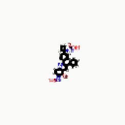 O=C(O)NC1(c2ccc(-c3nc4c(cc3-c3ccccc3)C(=O)/C(=N/O)CC4)cc2)CCC1